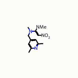 CNC(=C[N+](=O)[O-])N(C)Cc1cc(C)nc(C)c1